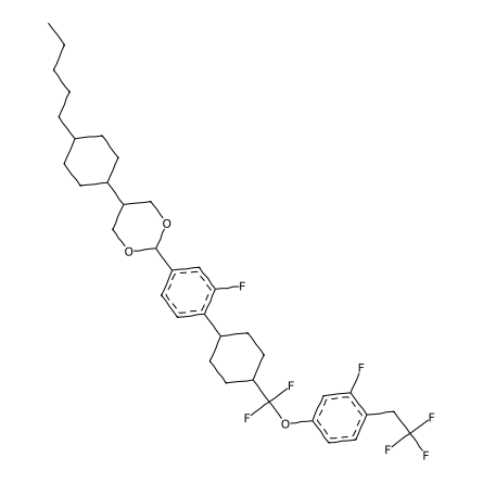 CCCCCC1CCC(C2COC(c3ccc(C4CCC(C(F)(F)Oc5ccc(CC(F)(F)F)c(F)c5)CC4)c(F)c3)OC2)CC1